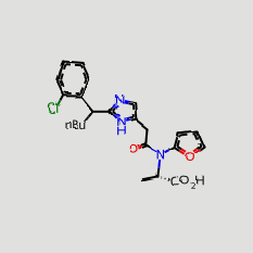 CCCCC(c1ncc(CC(=O)N(c2ccco2)[C@@H](C)C(=O)O)[nH]1)c1ccccc1Cl